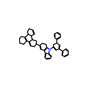 C1=CC2C3CC(C4=Cc5c(n(C6=CC(c7ccccc7)=CC(c7ccccc7)C6)c6ccccc56)CC4)CC=C3C3=C(CCCC3)C2CC1